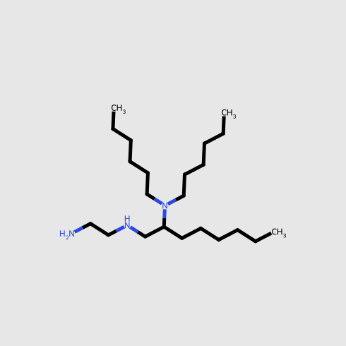 CCCCCCC(CNCCN)N(CCCCCC)CCCCCC